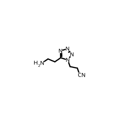 N#CCCn1nnnc1CCN